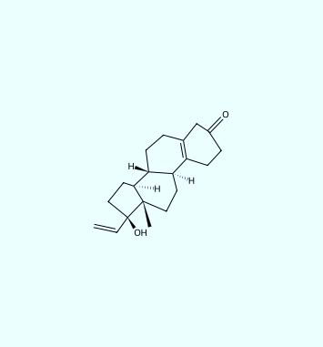 C=C[C@]1(O)CC[C@H]2[C@@H]3CCC4=C(CCC(=O)C4)[C@H]3CC[C@@]21C